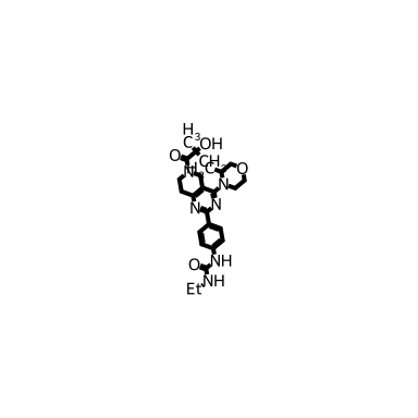 CCNC(=O)Nc1ccc(-c2nc3c(c(N4CCOCC4C)n2)CN(C(=O)C(C)(C)O)CC3)cc1